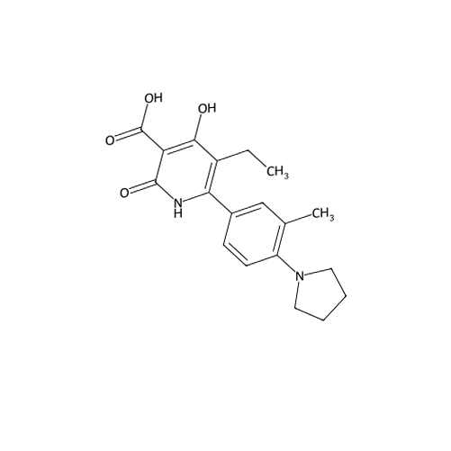 CCc1c(-c2ccc(N3CCCC3)c(C)c2)[nH]c(=O)c(C(=O)O)c1O